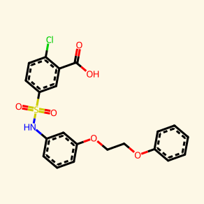 O=C(O)c1cc(S(=O)(=O)Nc2cccc(OCCOc3ccccc3)c2)ccc1Cl